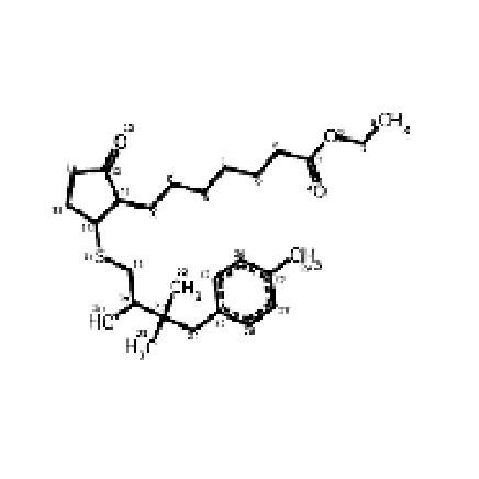 CCOC(=O)CCCCCCC1C(=O)CCC1SCC(O)C(C)(C)Cc1ccc(C)cc1